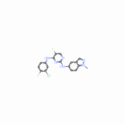 Cn1ncc2cc(Nc3ncc(F)c(Nc4ccc(F)c(Cl)c4)n3)ccc21